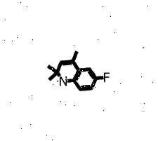 CC1=CC(C)(C)[N]c2ccc(F)cc21